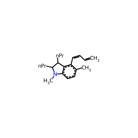 C=C/C=C\c1c(C)ccc2c1C(CCC)C(CCC)N2C